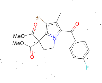 COC(=O)C1(C(=O)OC)CCn2c(C(=O)c3ccc(F)cc3)c(C)c(Br)c21